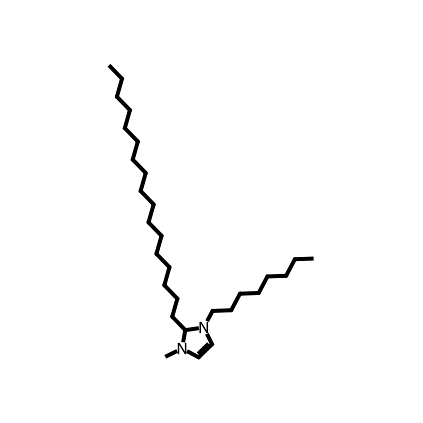 CCCCCCCCCCCCCCCCCC1N(C)C=CN1CCCCCCCC